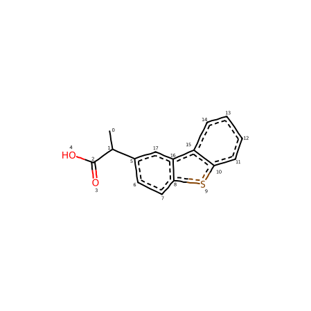 CC(C(=O)O)c1ccc2sc3ccccc3c2c1